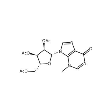 CC(=O)OC[C@H]1O[C@@H](n2cnc3c(=O)ncn(C)c32)[C@H](OC(C)=O)[C@@H]1OC(C)=O